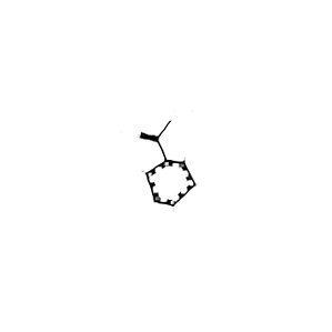 [CH2]CCC(=O)c1ccccc1